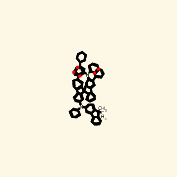 CC1(C)c2ccccc2-c2cc(N(c3ccccc3)c3ccc4c(c3)C3(c5ccccc5-c5cc(-c6ccccc6)c(N(c6ccccc6)c6ccccc6)cc53)c3cc(C5=CC=C(C6CCCCC6)CC5)ccc3-4)ccc21